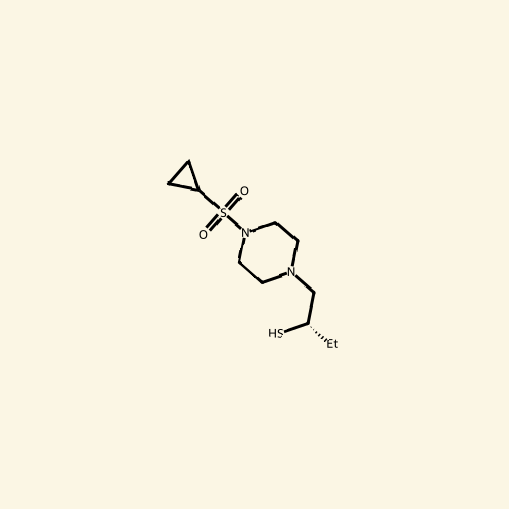 CC[C@H](S)CN1CCN(S(=O)(=O)C2CC2)CC1